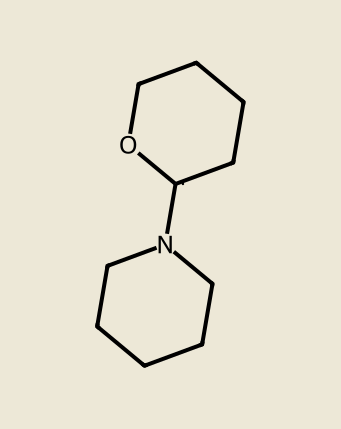 C1CCN([C]2CCCCO2)CC1